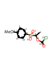 COc1ccc(S(=O)(=O)C(C)OC(=O)Cl)cc1